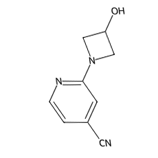 N#Cc1ccnc(N2CC(O)C2)c1